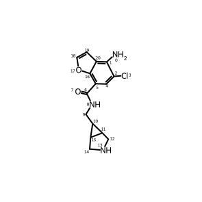 Nc1c(Cl)cc(C(=O)NCC2C3CNCC32)c2occc12